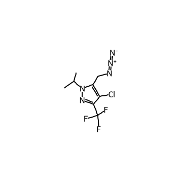 CC(C)n1nc(C(F)(F)F)c(Cl)c1CN=[N+]=[N-]